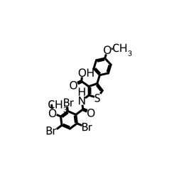 COc1ccc(-c2csc(NC(=O)c3c(Br)cc(Br)c(OC)c3Br)c2C(=O)O)cc1